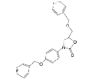 O=C1OC(COCc2ccccc2)CN1c1ccc(OCc2ccccc2)cc1